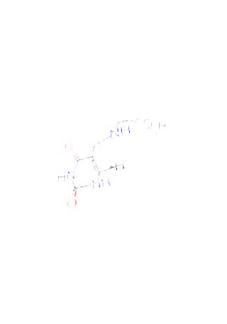 [2H]c1[nH]c(=O)[nH]c(=O)c1CNCC(=O)O